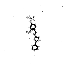 CC(C)(C)[Si](C)(C)Oc1ccc(CNc2csc(-c3ccncc3)n2)c(N)c1